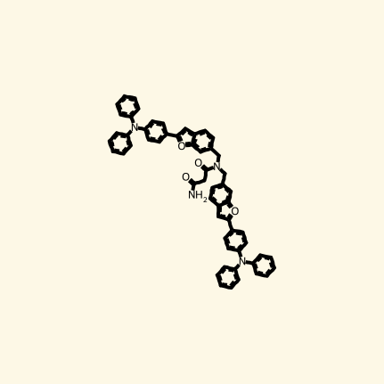 NC(=O)CC(=O)N(Cc1ccc2cc(-c3ccc(N(c4ccccc4)c4ccccc4)cc3)oc2c1)Cc1ccc2cc(-c3ccc(N(c4ccccc4)c4ccccc4)cc3)oc2c1